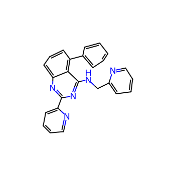 c1ccc(-c2cccc3nc(-c4ccccn4)nc(NCc4ccccn4)c23)cc1